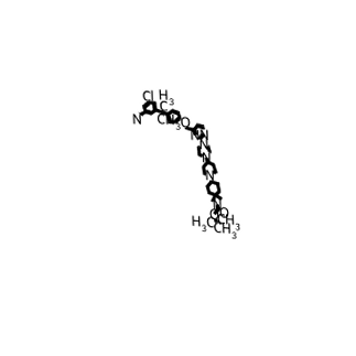 CC(C)(C)OC(=O)N1CC2(CCC(N3CCC(N4CCN(c5nccc(COc6ccc(C(C)(C)c7cc(Cl)cc(C#N)c7)cc6)n5)CC4)CC3)CC2)C1